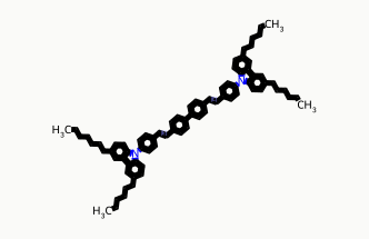 CCCCCCCc1ccc2c(c1)c1cc(CCCCCC)ccc1n2-c1ccc(/C=C/c2ccc(-c3ccc(/C=C/c4ccc(-n5c6ccc(CCCCCC)cc6c6cc(CCCCCC)ccc65)cc4)cc3)cc2)cc1